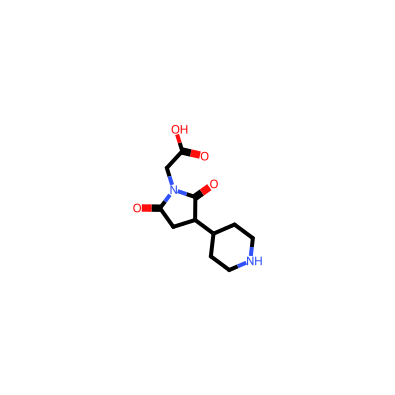 O=C(O)CN1C(=O)CC(C2CCNCC2)C1=O